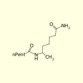 CCCCCC(=O)NC(C)CCCCC(N)=O